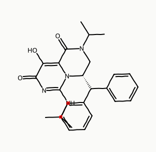 CC(C)Nc1nc(=O)c(O)c2n1[C@@H](C(c1ccccc1)c1ccccc1)CN(C(C)C)C2=O